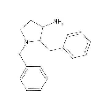 NC1CCN(Cc2ccccc2)C1Cc1ccccc1